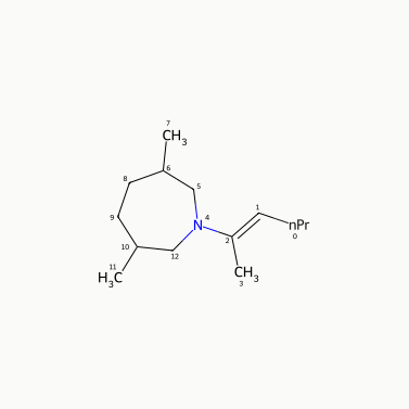 CCCC=C(C)N1CC(C)CCC(C)C1